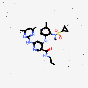 CCCNC(=O)c1cnc(Nc2nc(C)cc(C)n2)cc1Nc1ccc(C)cc1N(C)S(=O)(=O)C1CC1